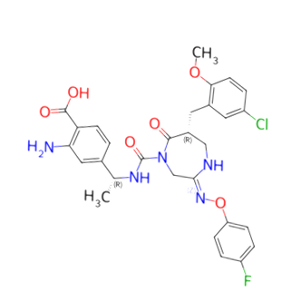 COc1ccc(Cl)cc1C[C@@H]1CN/C(=N\Oc2ccc(F)cc2)CN(C(=O)N[C@H](C)c2ccc(C(=O)O)c(N)c2)C1=O